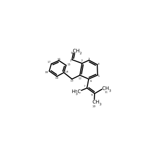 C=Cc1cccc(C(C)=C(C)C)c1Cc1ccccc1